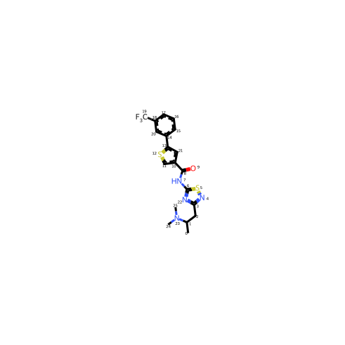 CC(Cc1nsc(NC(=O)c2csc(-c3cccc(C(F)(F)F)c3)c2)n1)N(C)C